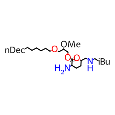 CCCCCCCCCCCCCCCCOCC(CO[C@@H]1OC(CNCC(C)CC)CCC1N)OC